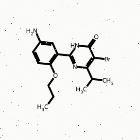 CCCOc1ccc(N)cc1-c1nc(C(C)C)c(Br)c(=O)[nH]1